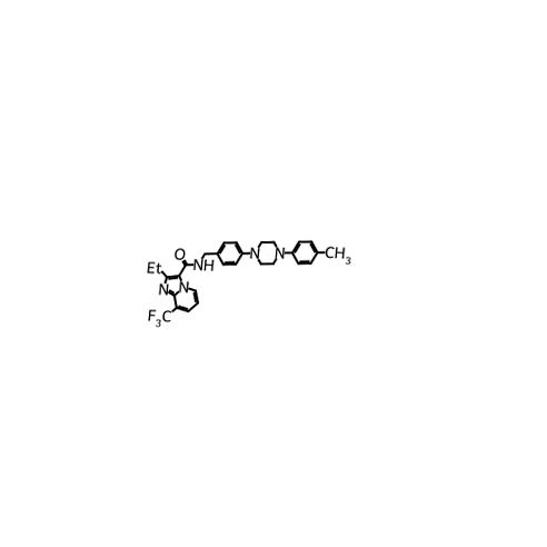 CCc1nc2c(C(F)(F)F)cccn2c1C(=O)NCc1ccc(N2CCN(c3ccc(C)cc3)CC2)cc1